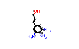 Nc1cc(C=CCO)cc(N)c1N